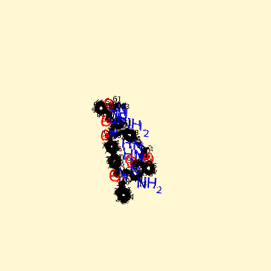 CN[C@@H](C)C(=O)N[C@H](C(=O)N1C[C@@H](N)C[C@H]1CN(CCc1ccccc1)C(=O)c1ccc(-c2ccc(C(=O)N(CCc3ccccc3)C[C@@H]3C[C@H](N)CN3C(=O)[C@@H](NC(=O)[C@H](C)NC)C3CCCCC3)cc2)cc1)C1CCCCC1